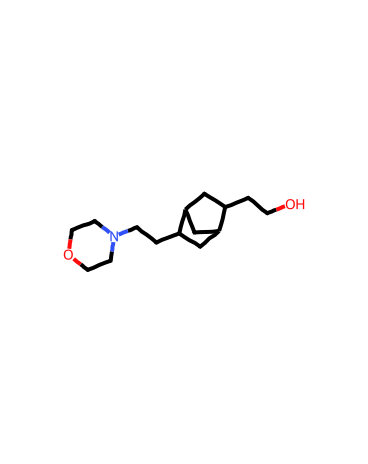 OCCC1CC2CC1CC2CCN1CCOCC1